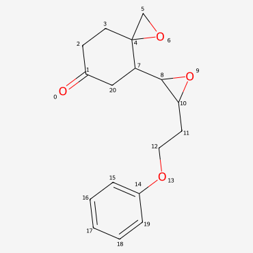 O=C1CCC2(CO2)C(C2OC2CCOc2ccccc2)C1